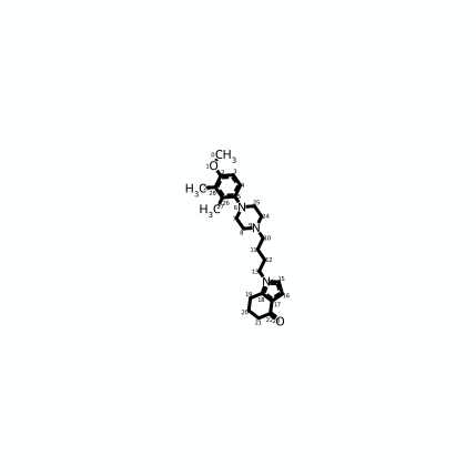 COc1ccc(N2CCN(CCCCn3ccc4c3CCCC4=O)CC2)c(C)c1C